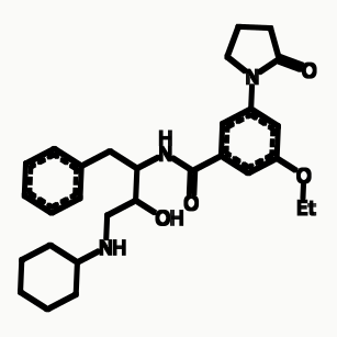 CCOc1cc(C(=O)NC(Cc2ccccc2)C(O)CNC2CCCCC2)cc(N2CCCC2=O)c1